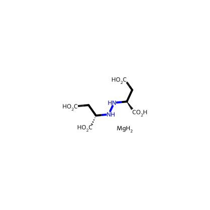 O=C(O)C[C@H](NN[C@@H](CC(=O)O)C(=O)O)C(=O)O.[MgH2]